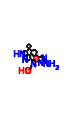 CN(CCO)C(=O)c1cnc2[nH]cc(C3(c4ccc(-c5cnc(N)nc5)cc4)CCC3)c2c1